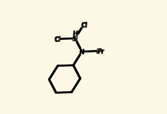 CC(C)N(C1CCCCC1)[SiH](Cl)Cl